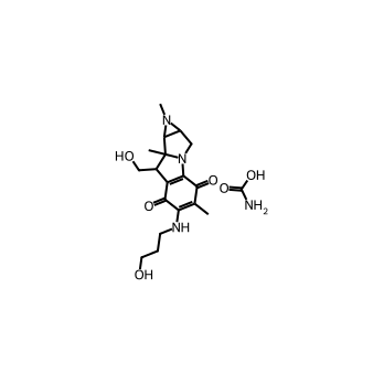 CC1=C(NCCCO)C(=O)C2=C(C1=O)N1CC3C(N3C)C1(C)C2CO.NC(=O)O